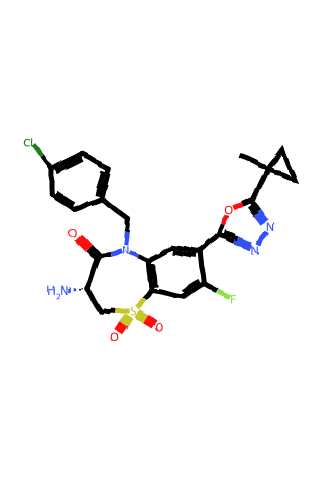 CC1(c2nnc(-c3cc4c(cc3F)S(=O)(=O)C[C@H](N)C(=O)N4Cc3ccc(Cl)cc3)o2)CC1